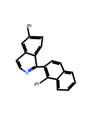 CC(C)c1ccc2c(-c3ccc4ccccc4c3C(C)C)nccc2c1